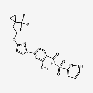 Cc1nc(-n2ccc(OCCC3(C(F)(F)F)CC3)n2)ccc1C(=O)NS(=O)(=O)C1=CC=CBN1